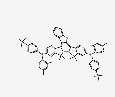 Cc1ccc(N(c2ccc(C(C)(C)C)cc2)c2ccc3c(c2)C(C)(C)c2c4c(c5c(oc6ccccc65)c2-3)-c2ccc(N(c3ccc(C(C)(C)C)cc3)c3ccc(C)cc3C)cc2C4(C)C)c(C)c1